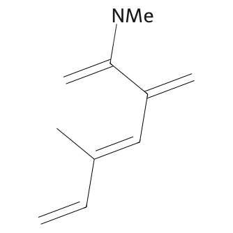 C=C/C(C)=C/C(=C)C(=C)NC